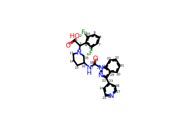 O=C(O)C(c1c(F)cccc1F)N1CCCC(NC(=O)n2nc(-c3ccncc3)c3ccccc32)C1